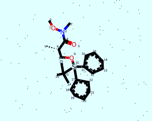 CON(C)C(=O)[C@@H](C)CO[Si](c1ccccc1)(c1ccccc1)C(C)(C)C